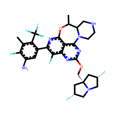 Cc1c(F)c(N)cc(-c2nc3c4c(nc(OC[C@]56C[C@H](F)CN5C[C@H](F)C6)nc4c2F)N2CCNCC2C(C)O3)c1C(F)(F)F